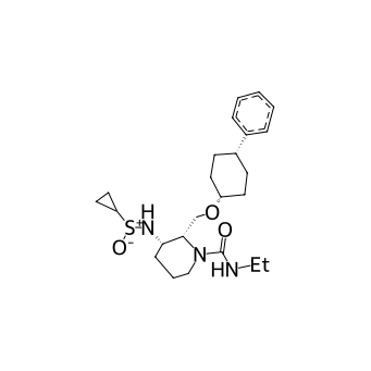 CCNC(=O)N1CCC[C@H](N[S+]([O-])C2CC2)[C@@H]1CO[C@H]1CC[C@@H](c2ccccc2)CC1